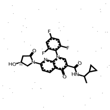 CC(NC(=O)c1cn(-c2c(F)cc(F)cc2F)c2nc(N3C[C@@H](O)CC3=O)ccc2c1=O)C1CC1